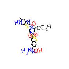 CC1Cc2nc(C(=O)N3CCN(S(=O)(=O)c4cc5cc(/C(N)=N\O)ccc5s4)CC3CC(=O)O)sc2CN1